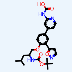 CC(C)CC(COc1ccc(-c2ccnc(NC(=O)O)c2)cc1-c1ccno1)NC(=O)OC(C)(C)C